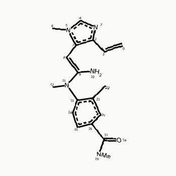 C=Cc1ncn(C)c1/C=C(\N)N(C)c1ccc(C(=O)NC)cc1C